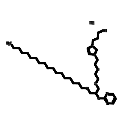 CCCCCCCCCCCCCCCCCCOCC(COCCOCCN1C=CN(CCCO)C1)Oc1ncccn1.Cl